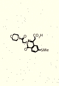 CSc1ccc2c(=O)n(CC(=O)N3CCOCC3)nc(CC(=O)O)c2c1